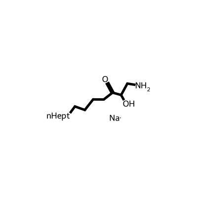 CCCCCCCCCCCC(=O)C(O)CN.[Na]